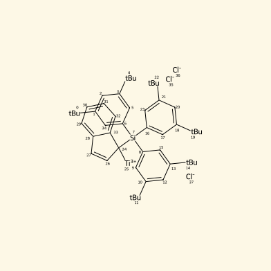 CC(C)(C)c1cc(C(C)(C)C)cc([Si](c2cc(C(C)(C)C)cc(C(C)(C)C)c2)(c2cc(C(C)(C)C)cc(C(C)(C)C)c2)[C]2([Ti+3])C=Cc3ccccc32)c1.[Cl-].[Cl-].[Cl-]